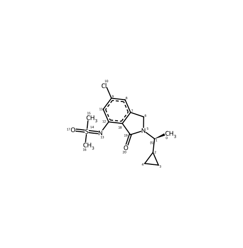 C[C@@H](C1CC1)N1Cc2cc(Cl)cc(N=S(C)(C)=O)c2C1=O